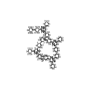 c1ccc(-c2ccc(-c3cc(-c4ccccc4)nc(-c4ccc5sc6cc(-c7cc(-c8ccccc8)nc(-c8cccc(-c9ccc(-c%10cc(-c%11ccccc%11)nc(-c%11ccc%12sc%13cc(-c%14cc(-c%15ccccc%15)nc(-c%15ccc(-c%16ccccc%16)cc%15)n%14)ccc%13c%12c%11)n%10)cc9)c8)n7)ccc6c5c4)n3)cc2)cc1